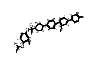 Cc1ccc(-c2ccc(-c3ccc(C4CCC(C(F)(F)Oc5ccc(OC(F)F)c(F)c5)CC4)cc3)c(F)c2)cc1